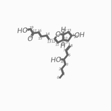 CCCCC(O)CC=C[C@@H]1[C@H]2C[C@H](CCCCC(=O)CO)O[C@@H]2C[C@H]1O